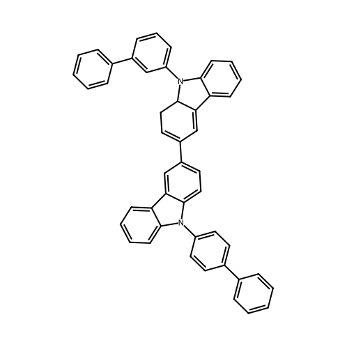 C1=C(c2ccc3c(c2)c2ccccc2n3-c2ccc(-c3ccccc3)cc2)C=C2c3ccccc3N(c3cccc(-c4ccccc4)c3)C2C1